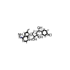 Cc1cc2/c(=N\N)nc[nH]c2n1[C@@H]1C[C@H]([C@H](O)c2ccc(Cl)cc2)[C@@H](O)[C@H]1O